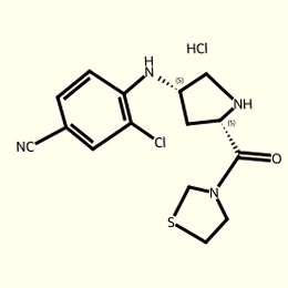 Cl.N#Cc1ccc(N[C@@H]2CN[C@H](C(=O)N3CCSC3)C2)c(Cl)c1